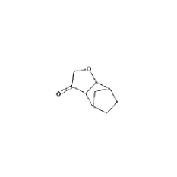 O=C1COC2C3CCC(C3)C12